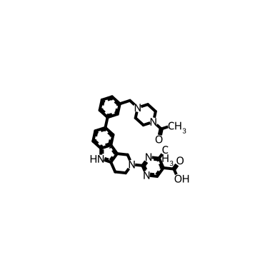 CC(=O)N1CCN(Cc2cccc(-c3ccc4[nH]c5c(c4c3)CN(c3ncc(C(=O)O)c(C)n3)CC5)c2)CC1